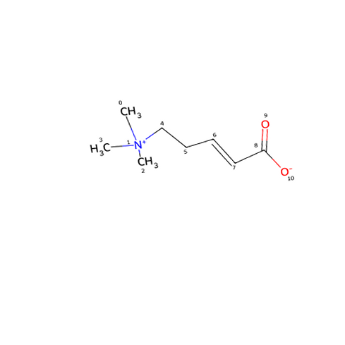 C[N+](C)(C)CCC=CC(=O)[O-]